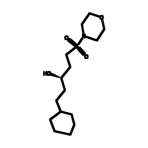 O=S(=O)(CC[C@@H](O)CCC1CCCCC1)N1CCOCC1